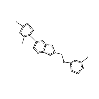 Fc1ccc(-c2cnc3nc(COc4ccnc(F)c4)cn3c2)c(F)c1